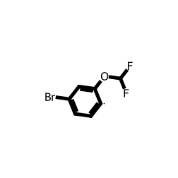 FC(F)Oc1[c]ccc(Br)c1